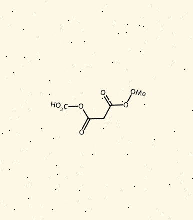 COOC(=O)CC(=O)OC(=O)O